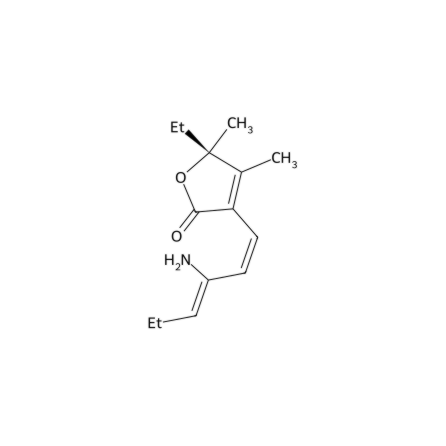 CC/C=C(N)/C=C\C1=C(C)[C@](C)(CC)OC1=O